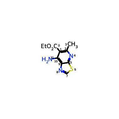 CCOC(=O)c1c(C)nc2scnc2c1N